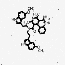 COc1ccc2[nH]cc(CCN(CCc3c[nH]c4ccc(OC)cc34)C(=O)c3c(C)nc(C)c(C(N)=O)c3-c3ccccc3[N+](=O)[O-])c2c1